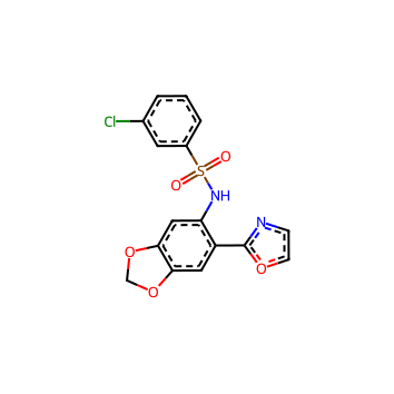 O=S(=O)(Nc1cc2c(cc1-c1ncco1)OCO2)c1cccc(Cl)c1